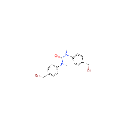 CN(C(=O)N(C)c1ccc(CBr)cc1)c1ccc(CBr)cc1